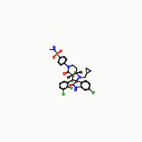 CNS(=O)(=O)c1ccc(N2CC[C@H]3[C@@H](C2=O)[C@H](c2cccc(Cl)c2F)[C@]2(C(=O)Nc4cc(Cl)ccc42)N3CC2CC2)cc1